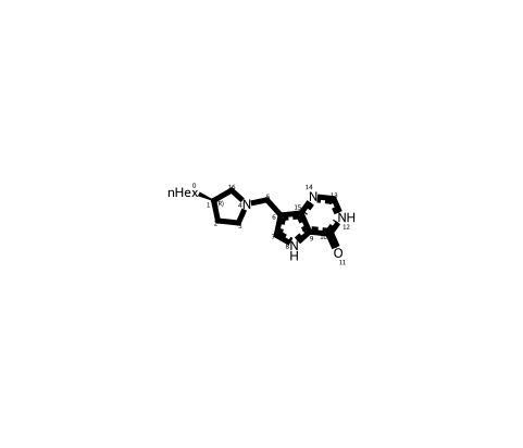 CCCCCC[C@@H]1CCN(Cc2c[nH]c3c(=O)[nH]cnc23)C1